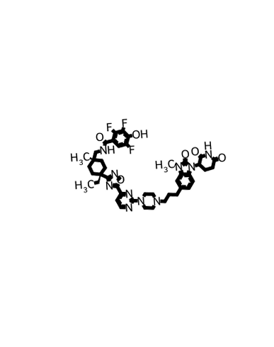 CC[C@]1(c2noc(-c3ccnc(N4CCN(CCCc5ccc6c(c5)n(C)c(=O)n6C5CCC(=O)NC5=O)CC4)n3)n2)CC[C@@](C)(CNC(=O)c2cc(F)c(O)c(F)c2F)CC1